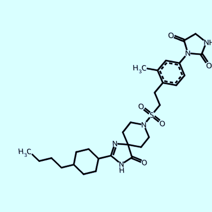 CCCCC1CCC(C2=NC3(CCN(S(=O)(=O)CCc4ccc(N5C(=O)CNC5=O)cc4C)CC3)C(=O)N2)CC1